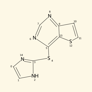 c1c[nH]c(Sc2ncnc3ccsc23)n1